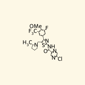 COc1c(F)cc(-c2nc(NC(=O)c3cnc(Cl)cn3)sc2CN2CCCC2C)cc1C(F)(F)F